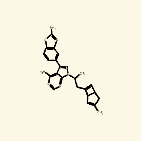 CC1=CC2C(CC(C)n3nc(-c4ccc5oc(N)nc5c4)c4c(N)ncnc43)=CC2C1